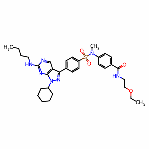 CCCCNc1ncc2c(-c3ccc(S(=O)(=O)N(C)c4ccc(C(=O)NCCOCC)cc4)cc3)nn(C3CCCCC3)c2n1